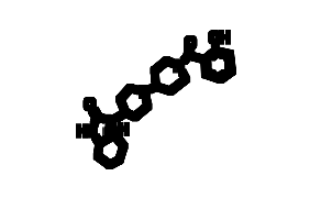 O=C(c1ccccc1O)N1CCC(N2CCC(N3C(=O)NC4CCCC[C@H]43)CC2)CC1